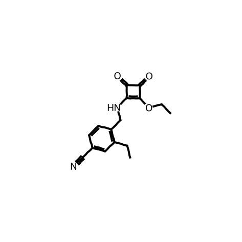 CCOc1c(NCc2ccc(C#N)cc2CC)c(=O)c1=O